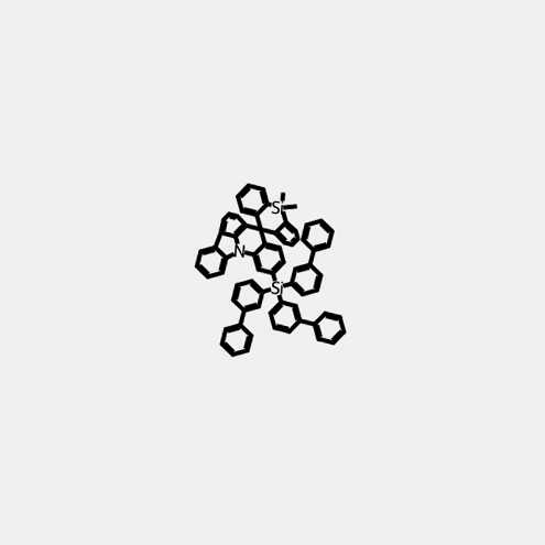 C[Si]1(C)c2ccccc2C2(c3ccc([Si](c4cccc(-c5ccccc5)c4)(c4cccc(-c5ccccc5)c4)c4cccc(-c5ccccc5)c4)cc3-n3c4ccccc4c4cccc2c43)c2ccccc21